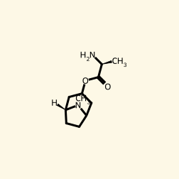 C[C@H](N)C(=O)OC1CC2CC[C@H](C1)N2C